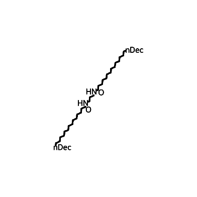 CCCCCCCCCCCCCCCCCCCCCCCC(=O)NCCCNC(=O)CCCCCCCCCCCCCCCCCCCCCCC